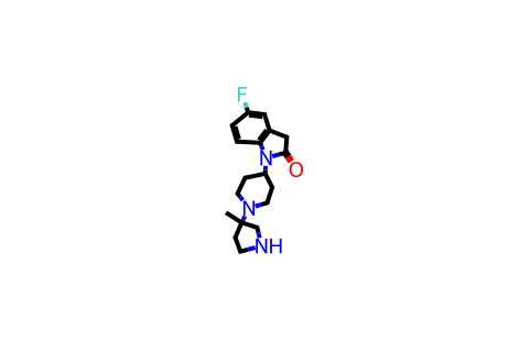 CC1(N2CCC(N3C(=O)Cc4cc(F)ccc43)CC2)CCNC1